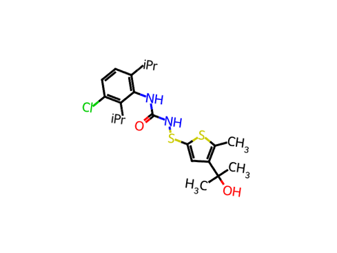 Cc1sc(SNC(=O)Nc2c(C(C)C)ccc(Cl)c2C(C)C)cc1C(C)(C)O